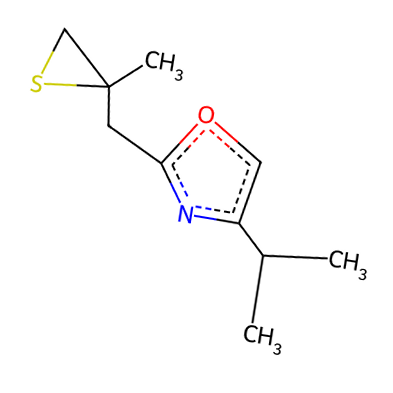 CC(C)c1coc(CC2(C)CS2)n1